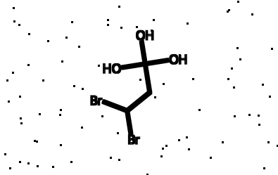 OC(O)(O)CC(Br)Br